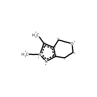 Cc1c2c(nn1C)CCOC2